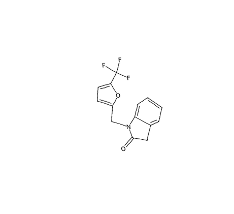 O=C1Cc2ccccc2N1Cc1ccc(C(F)(F)F)o1